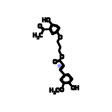 COc1cc(/C=C/C(=O)OCCCOc2ccc(O)c(C(C)=O)c2)ccc1O